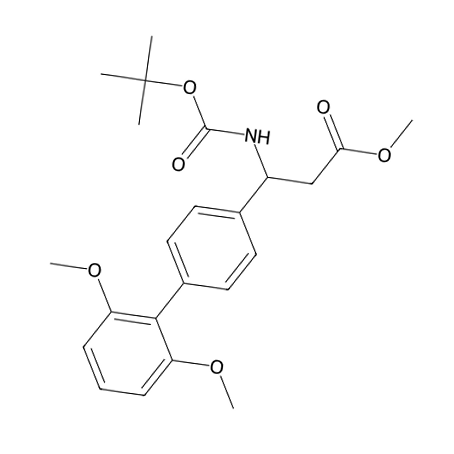 COC(=O)CC(NC(=O)OC(C)(C)C)c1ccc(-c2c(OC)cccc2OC)cc1